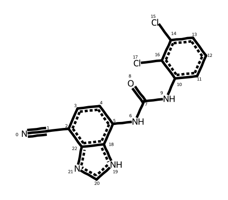 N#Cc1ccc(NC(=O)Nc2cccc(Cl)c2Cl)c2[nH]cnc12